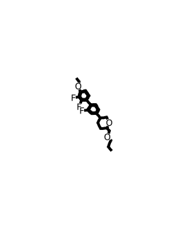 CCCOCC1CCC(c2ccc(-c3ccc(OCC)c(F)c3F)c(F)c2)CO1